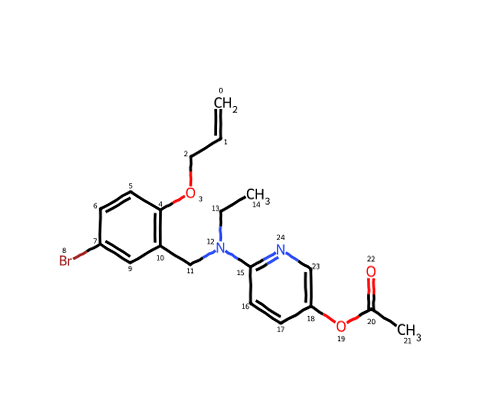 C=CCOc1ccc(Br)cc1CN(CC)c1ccc(OC(C)=O)cn1